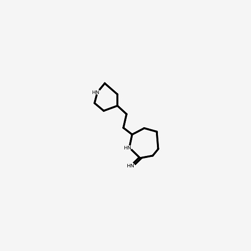 N=C1CCCCC(CCC2CCNCC2)N1